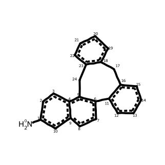 Nc1ccc2c3c(ccc2c1)-c1ccccc1Cc1ccccc1C3